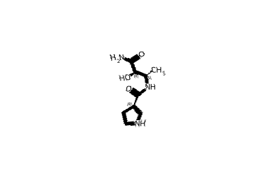 C[C@H](NC(=O)[C@@H]1CCNC1)[C@@H](O)C(N)=O